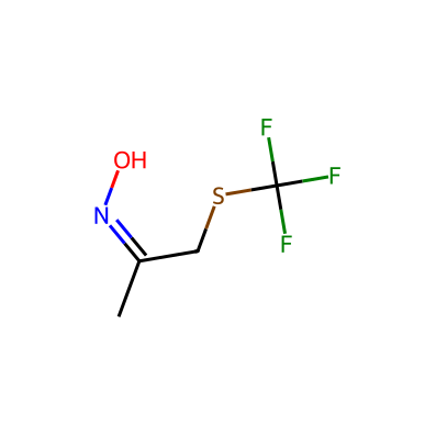 CC(CSC(F)(F)F)=NO